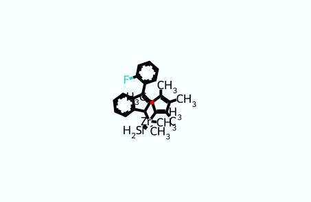 CC1=C(C)C(C)[C]([Zr]([CH3])([CH3])(=[SiH2])[CH]2C=C(c3ccccc3F)c3ccccc32)=C1C